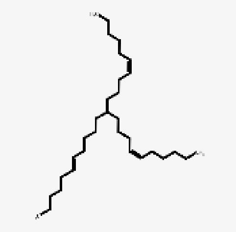 CCCCC/C=C\CCCC(CCC/C=C\CCCCC)CCCC/C=C/CCCCC